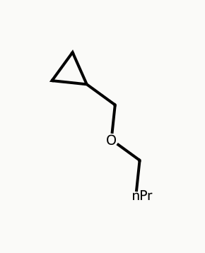 CCCCOCC1CC1